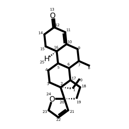 CC[C@]12CCC3C(C(C)CC4=CC(=O)CC[C@@H]43)C1CC[C@@]21C=CCO1